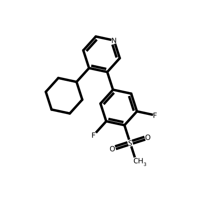 CS(=O)(=O)c1c(F)cc(-c2cnccc2C2CCCCC2)cc1F